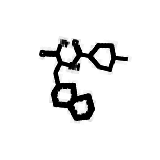 CC1CCC(C(=O)NC(Cc2ccc3ccccc3c2)C(=O)C(C)C)CC1